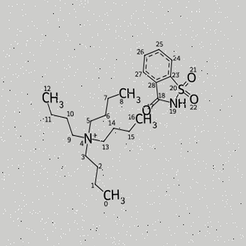 CCCC[N+](CCCC)(CCCC)CCCC.O=C1NS(=O)(=O)c2ccccc21